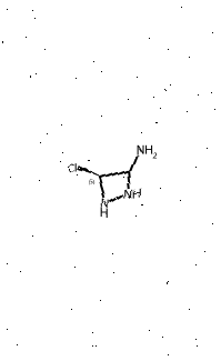 NC1NN[C@H]1Cl